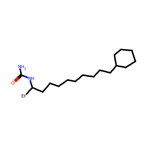 CCC(CCCCCCCCCC1CCCCC1)NC(N)=O